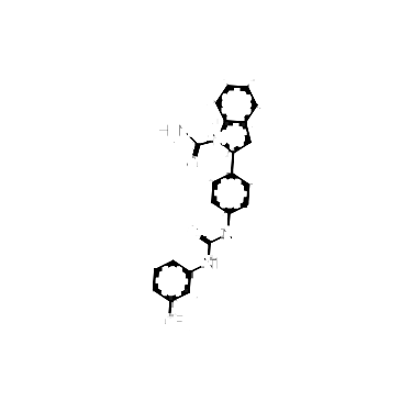 NC(=O)n1c(-c2ccc(NC(=O)Nc3cccc(C(F)(F)F)c3)cc2)cc2ccccc21